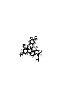 CC1=CC(C)(C)Nc2ccc3c(c21)/C(=C/c1cc(F)ccc1C)Oc1c(F)cc(F)cc1-3